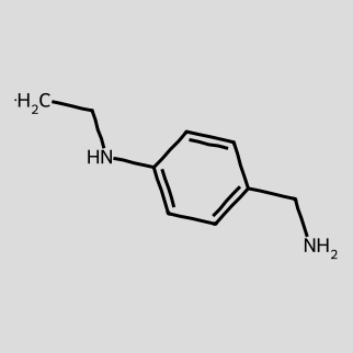 [CH2]CNc1ccc(CN)cc1